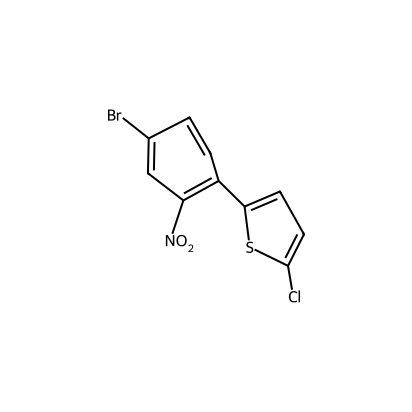 O=[N+]([O-])c1cc(Br)ccc1-c1ccc(Cl)s1